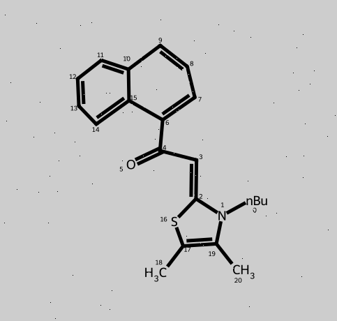 CCCCN1C(=CC(=O)c2cccc3ccccc23)SC(C)=C1C